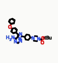 CC(C)(C)OC(=O)N1CCN(C2CCC(c3nc(-c4ccc(Oc5ccccc5)cc4)c4c(N)ncnn34)CC2)CC1